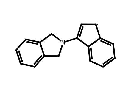 [CH]1C=C(N2Cc3ccccc3C2)c2ccccc21